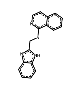 c1ccc2c(SCc3nc4ccccc4[nH]3)nccc2c1